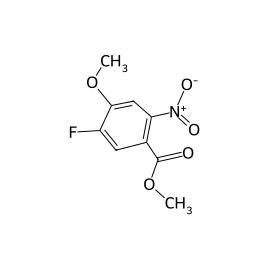 COC(=O)c1cc(F)c(OC)cc1[N+](=O)[O-]